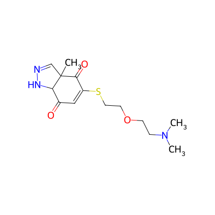 CN(C)CCOCCSC1=CC(=O)C2NN=CC2(C)C1=O